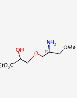 CCOC(=O)C(O)COC[C@@H](N)COC